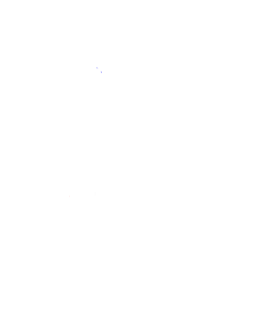 O=C(c1ccccc1)C(Cc1cccnc1)c1ccccc1